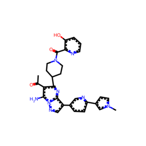 CC(=O)c1c(C2CCN(C(=O)c3ncccc3O)CC2)nc2c(-c3ccc(-c4ccn(C)c4)nc3)cnn2c1N